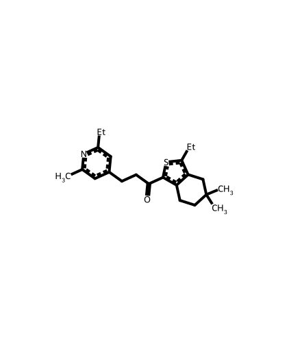 CCc1cc(CCC(=O)c2sc(CC)c3c2CCC(C)(C)C3)cc(C)n1